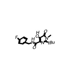 Cn1c(C(C)(C)C)nc(C(=O)NCc2ccc(F)cc2)c(O)c1=O